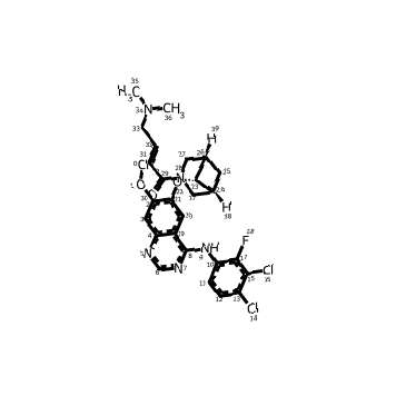 COc1cc2ncnc(Nc3ccc(Cl)c(Cl)c3F)c2cc1O[C@H]1[C@@H]2C[C@H]1CN(C(=O)/C=C/CN(C)C)C2